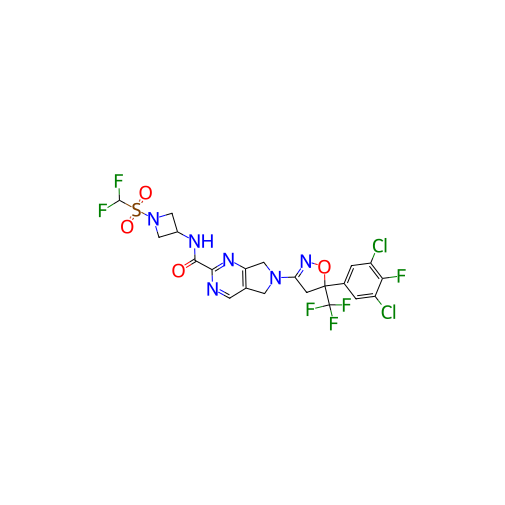 O=C(NC1CN(S(=O)(=O)C(F)F)C1)c1ncc2c(n1)CN(C1=NOC(c3cc(Cl)c(F)c(Cl)c3)(C(F)(F)F)C1)C2